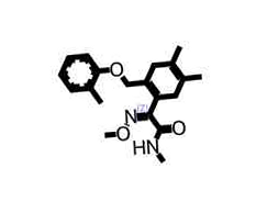 CNC(=O)/C(=N\OC)C1=C(COc2ccccc2C)CC(C)=C(C)C1